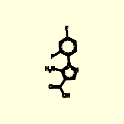 Nc1c(C(=O)O)cnn1-c1ccc(F)cc1F